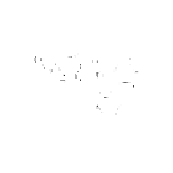 CCc1ccccc1-c1ccccc1OCc1ccc(C(=O)Cl)cc1